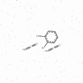 Clc1ccccc1Br.N=C=O.N=C=O